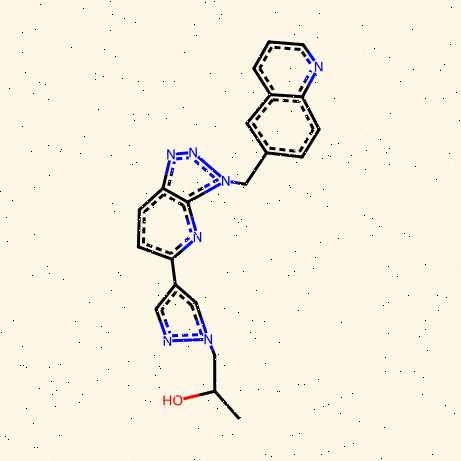 CC(O)Cn1cc(-c2ccc3nnn(Cc4ccc5ncccc5c4)c3n2)cn1